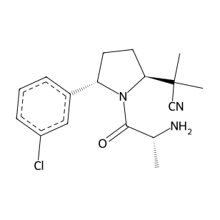 C[C@@H](N)C(=O)N1[C@H](C(C)(C)C#N)CC[C@H]1c1cccc(Cl)c1